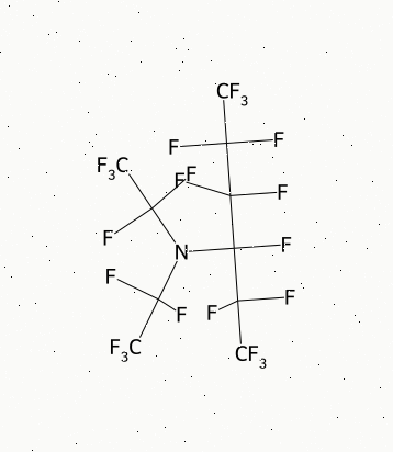 FC(F)(F)C(F)(F)N(C(F)(F)C(F)(F)F)C(F)(C(F)(F)C(F)(F)F)C(F)(F)C(F)(F)C(F)(F)F